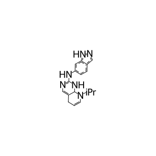 CC(C)N1C=CCC2=CN=C(Nc3ccc4cn[nH]c4c3)NC21